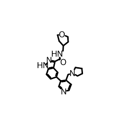 O=C(NCC1CCOCC1)c1n[nH]c2ccc(-c3cnccc3CN3CCCC3)cc12